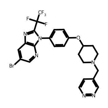 FC(F)(F)C(F)(F)c1nc2cc(Br)cnc2n1-c1ccc(OC2CCN(Cc3ccnnc3)CC2)cc1